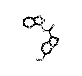 COc1ccc2c(C(=O)On3nnc4cccnc43)cnn2c1